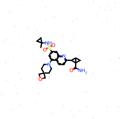 CC1(NS(=O)(=O)c2cc(N3CCC4(CC3)COC4)c3ccc(C4C5CC54C(N)=O)nc3c2)CC1